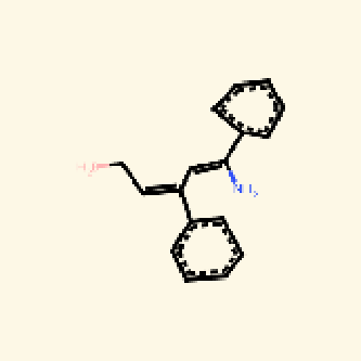 BC/C=C(\C=C(/N)c1ccccc1)c1ccccc1